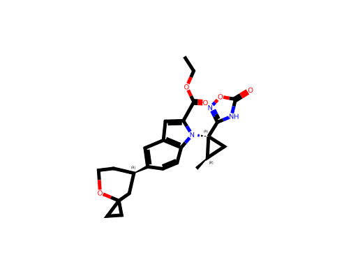 CCOC(=O)c1cc2cc([C@@H]3CCOC4(CC4)C3)ccc2n1[C@]1(c2noc(=O)[nH]2)C[C@H]1C